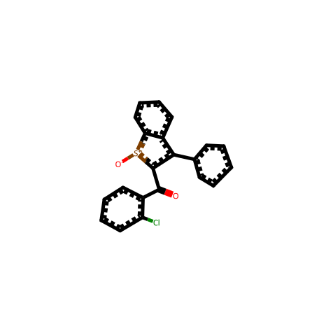 O=C(c1ccccc1Cl)c1c(-c2ccccc2)c2ccccc2[s+]1[O-]